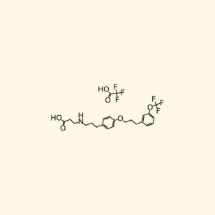 O=C(O)C(F)(F)F.O=C(O)CCNCCCc1ccc(OCCCc2cccc(OC(F)(F)F)c2)cc1